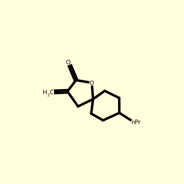 C=C1CC2(CCC(CCC)CC2)OC1=O